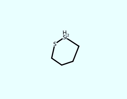 C1CCS[SiH2]C1